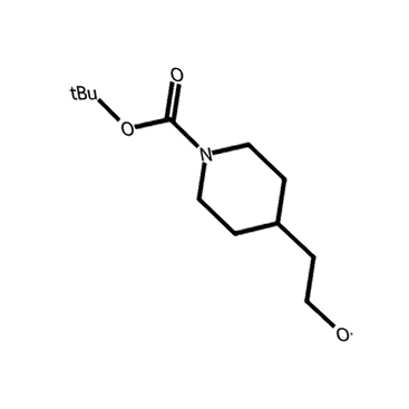 CC(C)(C)OC(=O)N1CCC(CC[O])CC1